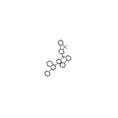 CC1(C)c2ccccc2-c2ccc(N(c3ccc(-c4ccc(-c5ccccc5)c5ccccc45)cc3)c3ccccc3-c3ccccc3)cc21